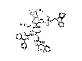 CCC[C@H](NC(=O)C1C[C@@H](NC(=O)OCC2c3ccccc3-c3ccccc32)CN1C(=O)OC(C)(C)C)C(=NNC(=O)NC(c1ccccc1)c1ccccc1)C(=O)NCC(=O)N[C@H](C(C)=O)c1ccccc1